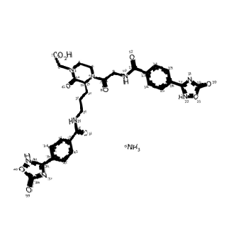 N.O=C(O)CN1CCN(C(=O)CNC(=O)c2ccc(-c3nc(=O)o[nH]3)cc2)[C@@H](CCCNC(=O)c2ccc(-c3nc(=O)o[nH]3)cc2)C1=O